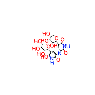 O=C1NC(=O)C(=Nc2cc([C@@H]3OC[C@@H](O)[C@@H](O)[C@H]3O)c(O)[nH]c2=O)C=C1[C@@H]1OC[C@@H](O)[C@@H](O)[C@H]1O